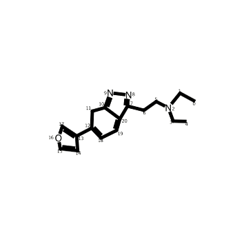 CCN(CC)CCC1=NN=C2CC(c3ccoc3)=CC=C12